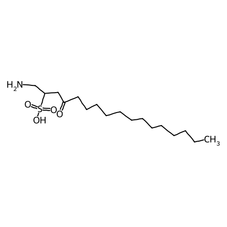 CCCCCCCCCCCCCC(=O)CC(CN)S(=O)(=O)O